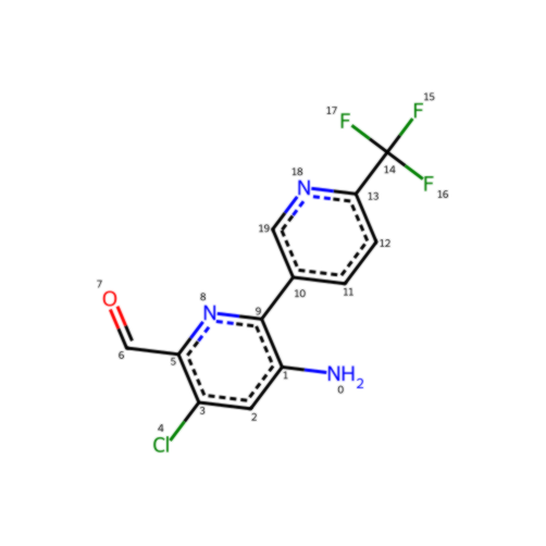 Nc1cc(Cl)c(C=O)nc1-c1ccc(C(F)(F)F)nc1